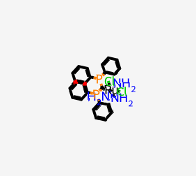 [NH2][Ru]([NH2])([NH2])([Cl])([Cl])=[C](P(c1ccccc1)c1ccccc1)P(c1ccccc1)c1ccccc1